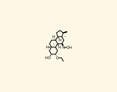 C=C1CC[C@H]2[C@@H]3CC[C@H]4C[C@H](O)[C@@H](OCC)C[C@]4(C)[C@H]3C(=NO)C[C@]12C